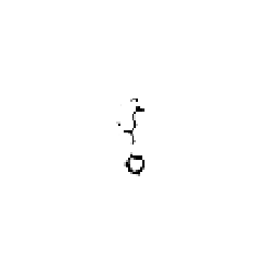 CN(C)C(=O)CCC(CSc1ccccc1)N(C(=O)O)C(C)(C)C